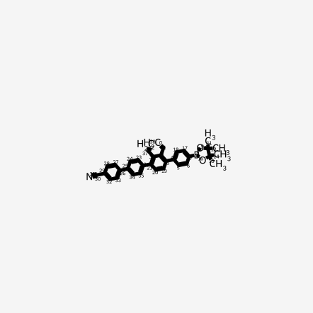 C=Cc1c(-c2ccc(B3OC(C)(C)C(C)(C)O3)cc2)ccc(-c2ccc(-c3ccc(C#N)cc3)cc2)c1C=C